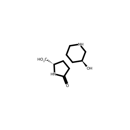 O=C1CC[C@@H](C(=O)O)N1.O[C@H]1CCCNC1